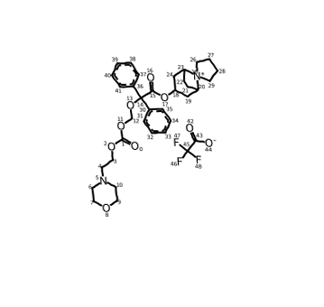 O=C(OCCN1CCOCC1)OCOC(C(=O)OC1CC2CCC(C1)[N+]21CCCC1)(c1ccccc1)c1ccccc1.O=C([O-])C(F)(F)F